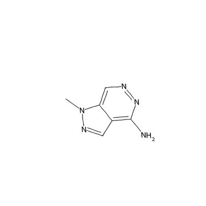 Cn1ncc2c(N)nncc21